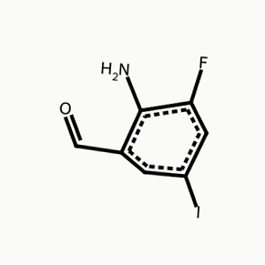 Nc1c(F)cc(I)cc1C=O